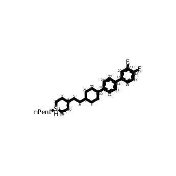 CCCCC[SiH]1CCC(CCC2CCC(c3ccc(-c4ccc(F)c(F)c4)cc3)CC2)CC1